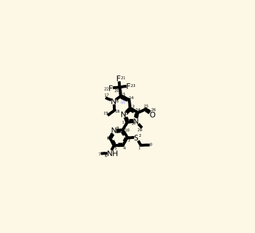 CCSc1cc(NC)cnc1-c1nc(/C=C(\N(C)CC)C(F)(F)F)c(C=O)n1C